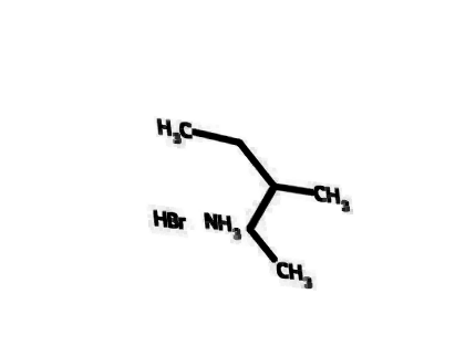 Br.CCC(C)CC.N